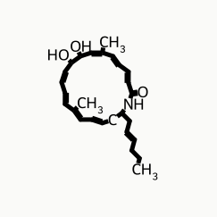 CCC/C=C/CC1C/C=C/C=C(C)/C=C/C=C\C(O)C(O)\C=C(C)/C=C/C=C/C(=O)N1